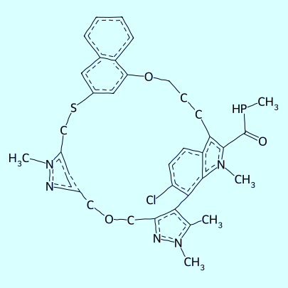 CPC(=O)c1c2c3ccc(Cl)c(c3n1C)-c1c(nn(C)c1C)COCc1cc(n(C)n1)CSc1cc(c3ccccc3c1)OCCC2